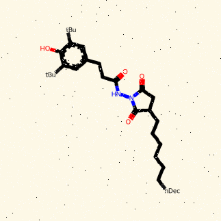 CCCCCCCCCCCCCCCCC1CC(=O)N(NC(=O)CCc2cc(C(C)(C)C)c(O)c(C(C)(C)C)c2)C1=O